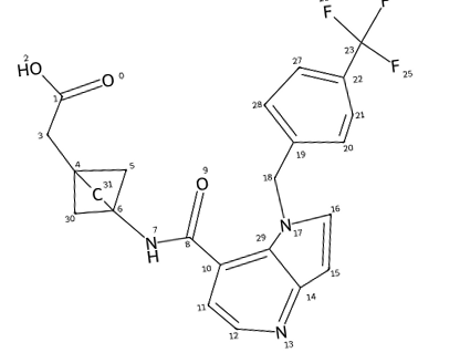 O=C(O)CC12CC(NC(=O)c3ccnc4ccn(Cc5ccc(C(F)(F)F)cc5)c34)(C1)C2